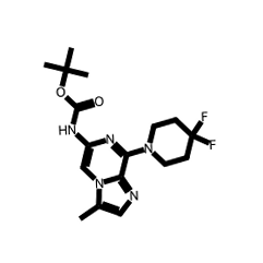 Cc1cnc2c(N3CCC(F)(F)CC3)nc(NC(=O)OC(C)(C)C)cn12